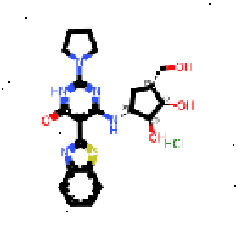 Cl.O=c1[nH]c(N2CCCC2)nc(N[C@@H]2C[C@H](CO)[C@@H](O)[C@H]2O)c1-c1nc2ccccc2s1